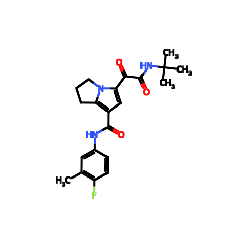 Cc1cc(NC(=O)c2cc(C(=O)C(=O)NC(C)(C)C)n3c2CCC3)ccc1F